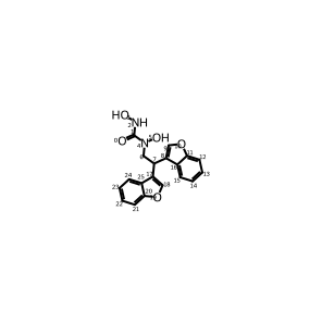 O=C(NO)N(O)CC(c1coc2ccccc12)c1coc2ccccc12